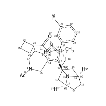 CC(=O)N1CCc2nc(C)n([C@H]3C[C@H]4CC[C@@H](C3)N4CC[C@H](NC(=O)C3CCC3)c3cccc(F)c3)c2C1